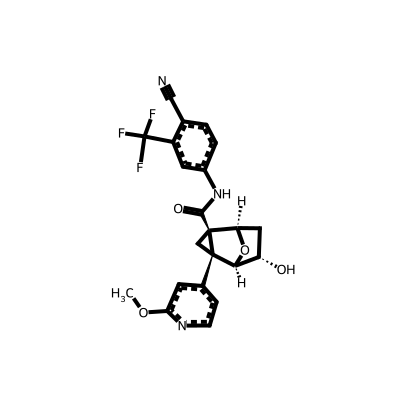 COc1cc([C@@]23C[C@]2(C(=O)Nc2ccc(C#N)c(C(F)(F)F)c2)[C@H]2C[C@H](O)[C@@H]3O2)ccn1